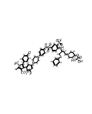 Cc1c(C(=O)O)c(-c2cc(F)cc(N3CCN(c4ccc(NS(=O)(=O)c5ccc(NC(CCN6CCC(OP(=O)(O)O)CC6)CSc6ccccc6)c(S(C)(=O)=O)c5)cc4)CC3)c2)c(-c2ccc(Cl)cc2)n1C(C)C